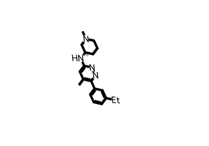 CCc1cccc(-c2nnc(N[C@@H]3CCCN(C)C3)cc2C)c1